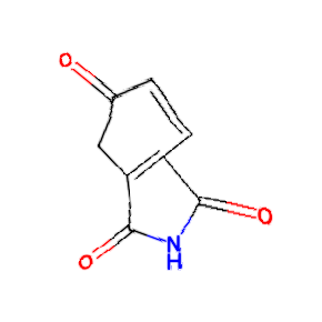 O=C1C=CC2=C(C1)C(=O)NC2=O